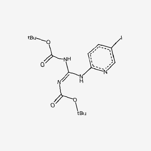 CC(C)(C)OC(=O)N=C(NC(=O)OC(C)(C)C)Nc1ccc(I)cn1